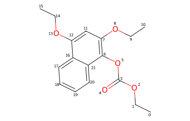 CCOC(=O)Oc1c(OCC)cc(OCC)c2ccccc12